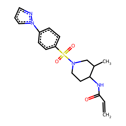 C=CC(=O)NC1CCN(S(=O)(=O)c2ccc(-n3cccn3)cc2)CC1C